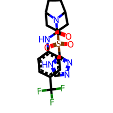 O=C(Nc1ccc(C(F)(F)F)cc1)N1C2CCC1CC(S(=O)(=O)c1nnc[nH]1)C2